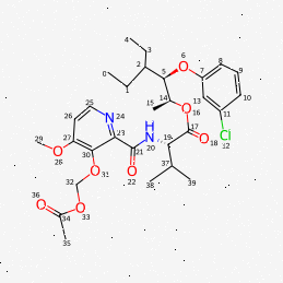 CCC(CC)[C@@H](Oc1cccc(Cl)c1)[C@H](C)OC(=O)[C@@H](NC(=O)c1nccc(OC)c1OCOC(C)=O)C(C)C